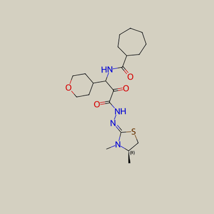 C[C@@H]1CSC(=NNC(=O)C(=O)C(NC(=O)C2CCCCCC2)C2CCOCC2)N1C